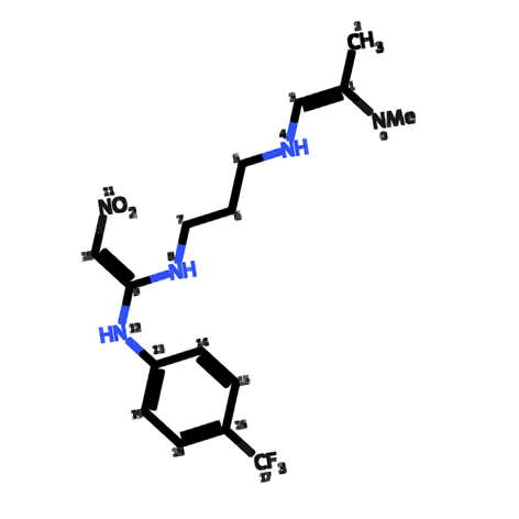 CN/C(C)=C\NCCCN/C(=C\[N+](=O)[O-])Nc1ccc(C(F)(F)F)cc1